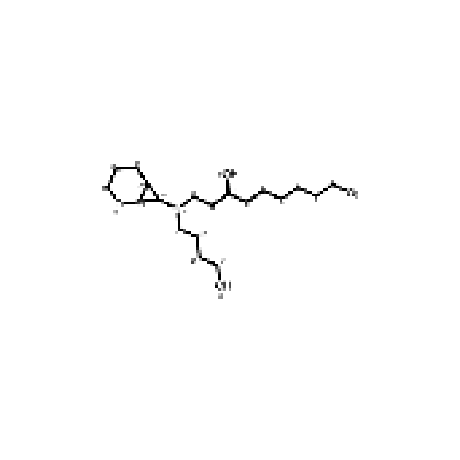 [O]CCCCCCC(O)CCN(CCCCO)C1C2CCCOC21